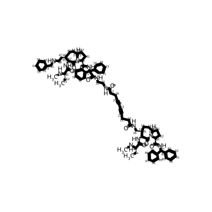 CC[C@H](NC)C(=O)N[C@@H]1C(=O)N2[C@@H](CC[C@@H]1CNC(=O)CCC#CC#CCCC(=O)NCCNC(=O)C(NC(=O)[C@@H]1CC[C@@H]3CC[C@H](CCNCc4ccccc4)[C@H](NC(=O)[C@H](CC)NC)C(=O)N31)(c1ccccc1)c1ccccc1)CC[C@H]2C(=O)NC(c1ccccc1)c1ccccc1